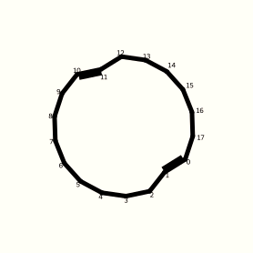 C1=C/CCCCCCCC/C=C/CCCCCC/1